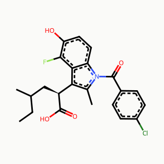 CCC(C)C[C@H](C(=O)O)c1c(C)n(C(=O)c2ccc(Cl)cc2)c2ccc(O)c(F)c12